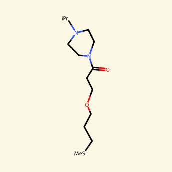 CSCCCOCCC(=O)N1CCN(C(C)C)CC1